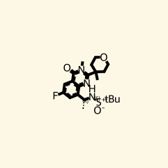 C[C@@H](N[S@+]([O-])C(C)(C)C)c1cc(F)cc2c(=O)n(C)c(C3(C)CCOCC3)nc12